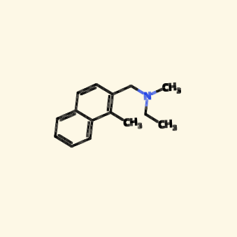 CCN(C)Cc1ccc2ccccc2c1C